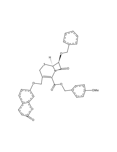 COc1ccc(COC(=O)C2=C(COc3ccc4ccc(=O)oc4c3)CS[C@H]3[C@@H](OCc4ccccc4)C(=O)N23)cc1